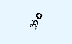 C[C@@H]1C(=O)NC[C@H]1c1ccccc1